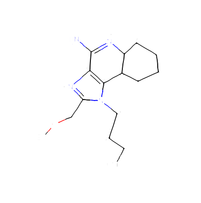 CCOCc1nc2c(n1CCCC(C)(C)C)C1CCCCC1N=C2N